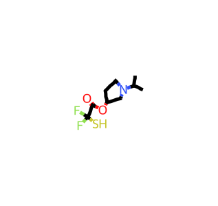 CC(C)N1CCC(OC(=O)C(F)(F)S)C1